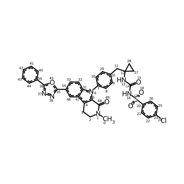 CN1CCc2c(n(-c3ccc(CC4(NC(=O)NS(=O)(=O)c5ccc(Cl)cc5)CC4)cc3)c3ccc(-c4nnc(-c5ccccc5)o4)cc23)C1=O